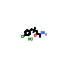 CC(N)C(=O)CC(C)(C)Cc1ccc(Cl)cc1.Cl